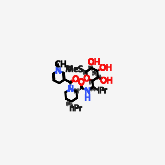 CCC[C@@H]1CCN(C(=O)C2=CN(C)C=CC2)[C@H](C(=O)N[C@H](C(C)C)[C@H]2O[C@H](SC)[C@H](O)[C@@H](O)[C@H]2O)C1